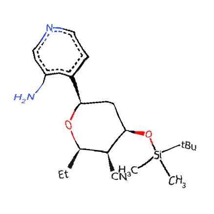 CC[C@H]1O[C@@H](c2ccncc2N)C[C@@H](O[Si](C)(C)C(C)(C)C)[C@H]1C#N